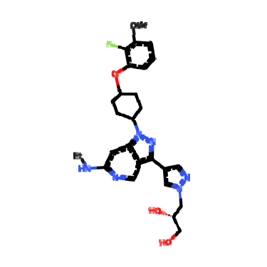 CCNc1cc2c(cn1)c(-c1cnn(C[C@@H](O)CO)c1)nn2C1CCC(Oc2cccc(OC)c2F)CC1